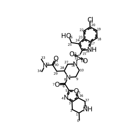 CC1Cc2nc(C(=O)N3CCN(S(=O)(=O)c4[nH]c5ccc(Cl)cc5c4CO)CC3CC(=O)N(C)C)oc2CN1